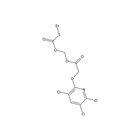 CCSC(=O)OCOC(=O)COc1nc(Cl)c(Cl)cc1Cl